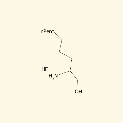 CCCCCCCCC(N)CO.F